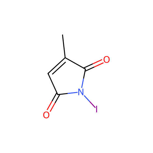 CC1=CC(=O)N(I)C1=O